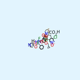 O=C(O[C@H]1CN2CCC1CC2)C(Nc1cccc(S(=O)(=O)N2CCS[C@]2(C(=O)O)[C@@H](Cc2c(Cl)c[n+]([O-])cc2Cl)c2ccc(OC(F)F)c(OCC3CC3)c2)c1)c1ccccc1